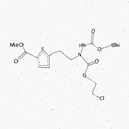 COC(=O)c1ccc(CCN(NC(=O)OC(C)(C)C)C(=O)OCCCl)s1